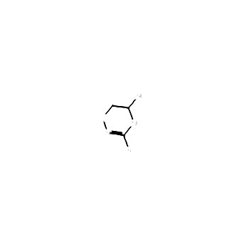 NC1=NOCC(N)N1